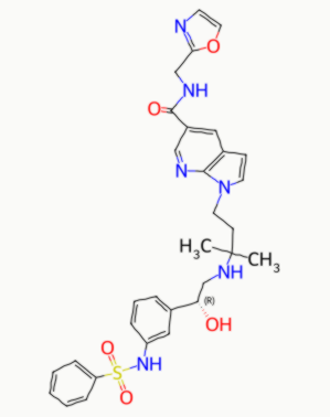 CC(C)(CCn1ccc2cc(C(=O)NCc3ncco3)cnc21)NC[C@H](O)c1cccc(NS(=O)(=O)c2ccccc2)c1